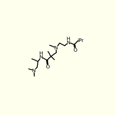 CC(CN(C)C)NC(=O)C(C)(C)CN(C)CCNC(=O)C(C)C